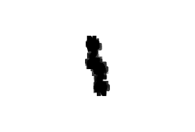 C(Cc1ccncc1)=c1ccc2cc(=CCc3ccncc3)ccc2c1